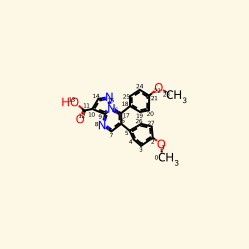 COc1ccc(-c2cnc3c(C(=O)O)cnn3c2-c2ccc(OC)cc2)cc1